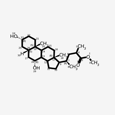 COC(=O)C(C)C[C@@H](C)C1CCC2C3C(CC[C@@]21C)[C@@]1(C)CC[C@@H](O)C[C@H]1C[C@H]3O